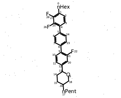 CCCCCCc1ccc(-c2ccc(-c3ccc(C4CCC(CCCCC)CO4)cc3F)cc2)c(F)c1F